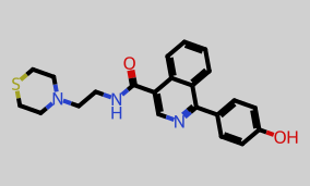 O=C(NCCN1CCSCC1)c1cnc(-c2ccc(O)cc2)c2ccccc12